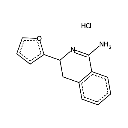 Cl.NC1=NC(c2ccco2)Cc2ccccc21